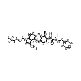 C[Si](C)(C)CCOCn1cc(C(F)(F)F)c2c(Oc3ccc(NC(=O)NCCN4CCOCC4)c(F)c3F)ccnc21